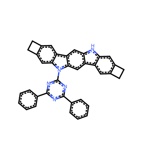 c1ccc(-c2nc(-c3ccccc3)nc(-n3c4cc5c(cc4c4cc6[nH]c7cc8c(cc7c6cc43)CC8)CC5)n2)cc1